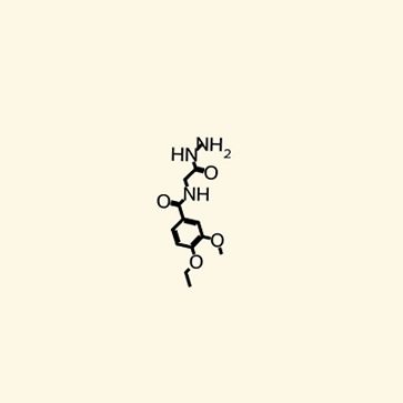 CCOc1ccc(C(=O)NCC(=O)NN)cc1OC